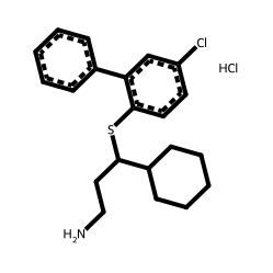 Cl.NCCC(Sc1ccc(Cl)cc1-c1ccccc1)C1CCCCC1